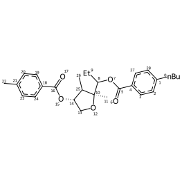 CCCCc1ccc(C(=O)OC(CC)[C@@]2(C)OC[C@H](OC(=O)c3ccc(C)cc3)C2C)cc1